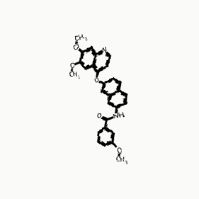 COc1cccc(C(=O)Nc2ccc3ccc(Oc4ccnc5cc(OC)c(OC)cc45)cc3c2)c1